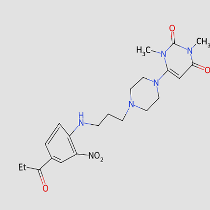 CCC(=O)c1ccc(NCCCN2CCN(c3cc(=O)n(C)c(=O)n3C)CC2)c([N+](=O)[O-])c1